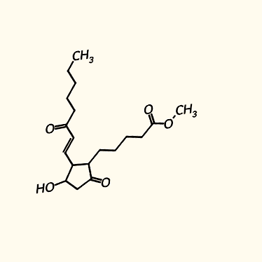 CCCCCC(=O)C=CC1C(O)CC(=O)C1CCCCC(=O)OC